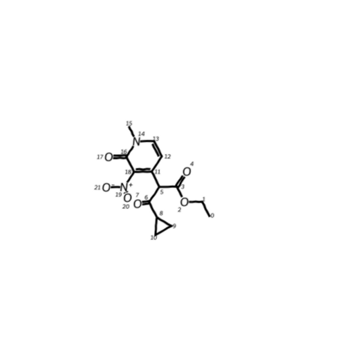 CCOC(=O)C(C(=O)C1CC1)c1ccn(C)c(=O)c1[N+](=O)[O-]